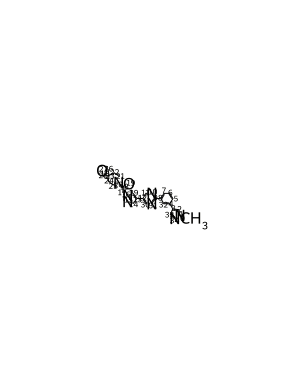 Cn1cc(-c2cccc(-c3ncc(-c4cnn(CC(=O)N5CCC6(CC5)COC6)c4)cn3)c2)cn1